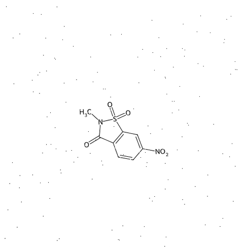 CN1C(=O)c2ccc([N+](=O)[O-])cc2S1(=O)=O